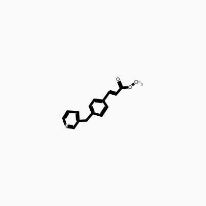 COC(=O)C=Cc1ccc(Cc2cccnc2)cc1